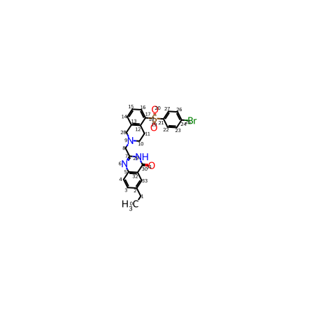 CCc1ccc2nc(CN3CCc4c(cccc4S(=O)(=O)c4ccc(Br)cc4)C3)[nH]c(=O)c2c1